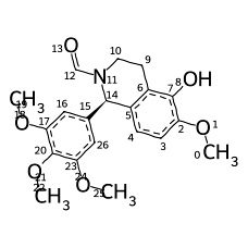 COc1ccc2c(c1O)CCN(C=O)[C@@H]2c1cc(OC)c(OC)c(OC)c1